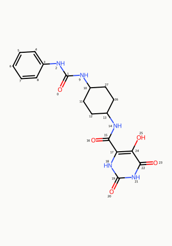 O=C(Nc1ccccc1)NC1CCC(NC(=O)c2[nH]c(=O)[nH]c(=O)c2O)CC1